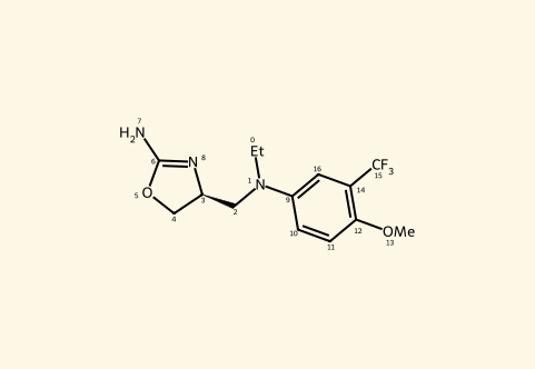 CCN(C[C@H]1COC(N)=N1)c1ccc(OC)c(C(F)(F)F)c1